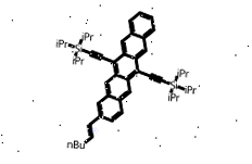 CCCC/C=C/c1ccc2cc3c(C#C[Si](C(C)C)(C(C)C)C(C)C)c4cc5ccccc5cc4c(C#C[Si](C(C)C)(C(C)C)C(C)C)c3cc2c1